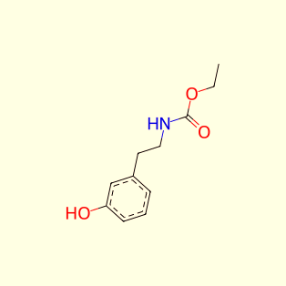 CCOC(=O)NCCc1cccc(O)c1